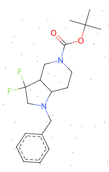 CC(C)(C)OC(=O)N1CCC2C(C1)C(F)(F)CN2Cc1ccccc1